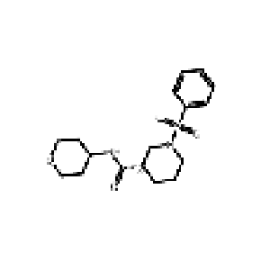 O=C(NC1CCOCC1)[C@H]1CCCN(S(=O)(=O)c2ccccc2)C1